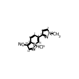 Cl.Cn1ccc(-c2ccc3c(C#N)cnn3c2)n1